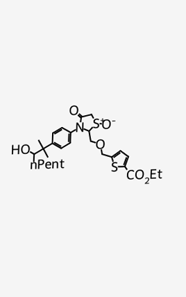 CCCCCC(O)C(C)(C)c1ccc(N2C(=O)C[S+]([O-])C2COCc2ccc(C(=O)OCC)s2)cc1